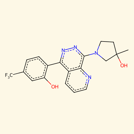 CC1(O)CCN(c2nnc(-c3ccc(C(F)(F)F)cc3O)c3cccnc23)C1